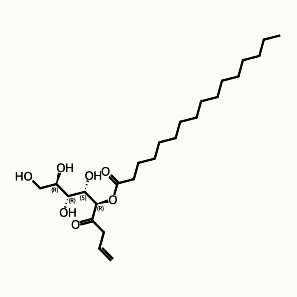 C=CCC(=O)[C@H](OC(=O)CCCCCCCCCCCCCCC)[C@@H](O)[C@H](O)[C@H](O)CO